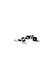 C=CCN1CCN(c2ncc(NS(=O)(=O)c3ccc(C(C)C)cc3)cn2)CC1C